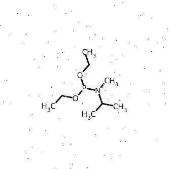 CCOP(OCC)N(C)C(C)C